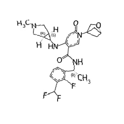 C[C@@H](NC(=O)c1cn(C23COC(C2)C3)c(=O)cc1NC1[C@H]2CN(C)C[C@@H]12)c1cccc(C(F)F)c1F